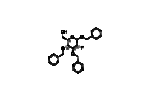 OC[C@H]1OC(OCc2ccccc2)[C@H](F)[C@@H](OCc2ccccc2)[C@@H]1OCc1ccccc1